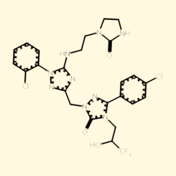 O=C1NCCN1CCNc1nc(Cn2nc(-c3ccc(Cl)cc3)n(CC(O)C(F)(F)F)c2=O)nn1-c1ccccc1Cl